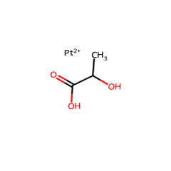 CC(O)C(=O)O.[Pt+2]